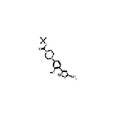 COc1cc(N2CCN(C(=O)OC(C)(C)C)CC2)ccc1-c1cc(N)n[nH]1